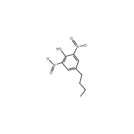 CCCCc1cc([N+](=O)[O-])c(O)c([N+](=O)[O-])c1